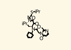 Cc1nccc(=O)n1CC(=O)N(c1ccccc1)[C@@H](CC(C)C)C(=O)c1nnc(SC(C)C)o1